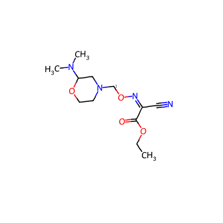 CCOC(=O)C(C#N)=NO[C]N1CCOC(N(C)C)C1